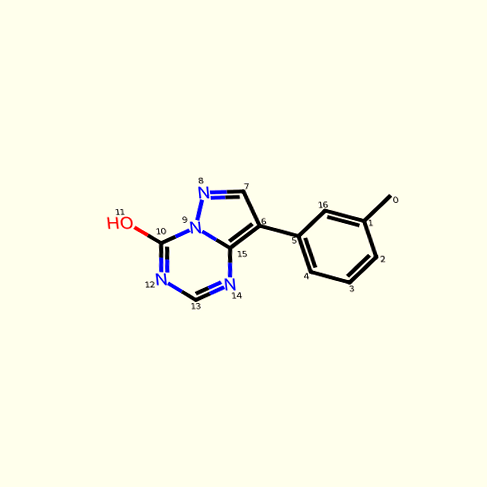 Cc1cccc(-c2cnn3c(O)ncnc23)c1